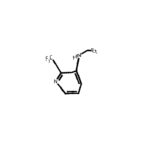 CCNc1cccnc1C(F)(F)F